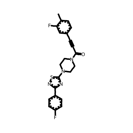 Cc1ccc(C#CC(=O)N2CCN(c3nc(-c4ccc(F)cc4)ns3)CC2)cc1F